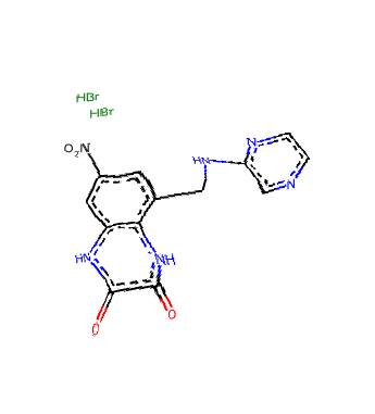 Br.Br.O=c1[nH]c2cc([N+](=O)[O-])cc(CNc3cnccn3)c2[nH]c1=O